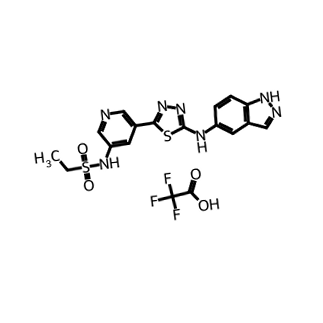 CCS(=O)(=O)Nc1cncc(-c2nnc(Nc3ccc4[nH]ncc4c3)s2)c1.O=C(O)C(F)(F)F